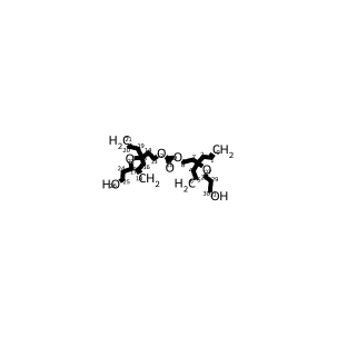 C=CCC(CC=C)(CCOC(=O)OCCC(CC=C)(CC=C)OCCCO)OCCCO